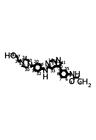 C=CC(=O)Nc1cccc(-c2cnn3cnc(Nc4ccc(N5CCN(CCO)CC5)cc4)cc23)c1